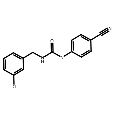 N#Cc1ccc(NC(=O)NCc2cccc(Cl)c2)cc1